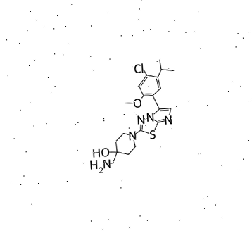 COc1cc(Cl)c(C(C)C)cc1-c1cnc2sc(N3CCC(O)(CN)CC3)nn12